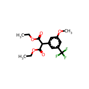 CCOC(=O)C(C(=O)OCC)c1cc(OC)cc(C(F)(F)F)c1